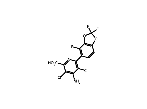 Nc1c(Cl)c(C(=O)O)nc(-c2ccc3c(c2F)OC(F)(F)O3)c1Cl